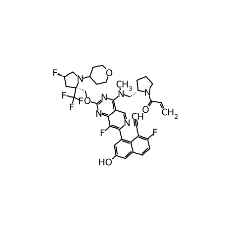 C#Cc1c(F)ccc2cc(O)cc(-c3ncc4c(N(C)C[C@@H]5CCCN5C(=O)C=C)nc(OC[C@]5(C(F)(F)F)C[C@@H](F)CN5C5CCOCC5)nc4c3F)c12